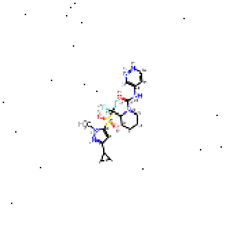 Cn1nc(C2CC2)cc1S(=O)(=O)C(F)(F)C1CCCCN1C(=O)Nc1ccnnc1